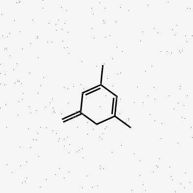 C=C1C=C(C)C=C(C)C1